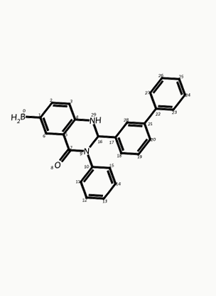 Bc1ccc2c(c1)C(=O)N(c1ccccc1)C(c1cccc(-c3ccccc3)c1)N2